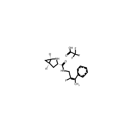 C/C(=C(\F)CNC(=O)[C@@H]1C[C@H]2C[C@H]2N1)c1ccccc1.O=C(O)C(F)(F)F